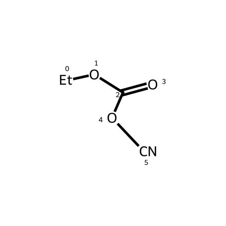 CCOC(=O)OC#N